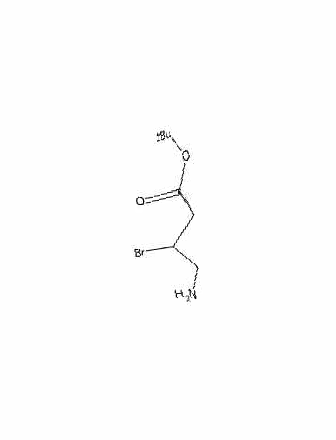 CC(C)(C)OC(=O)CC(Br)CN